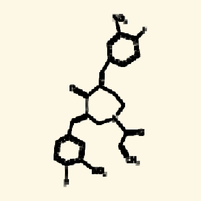 C=CC(=O)N1CCC(=Cc2ccc(F)c([N+](=O)[O-])c2)C(=O)C(=Cc2ccc(F)c([N+](=O)[O-])c2)C1